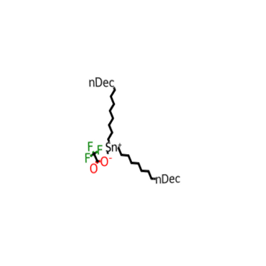 CCCCCCCCCCCCCCCCC[CH2][Sn+]([CH3])[CH2]CCCCCCCCCCCCCCCCC.O=C([O-])C(F)(F)F